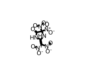 O=C1NC(=C([N+](=O)[O-])[N+](=O)[O-])NC1([N+](=O)[O-])[N+](=O)[O-]